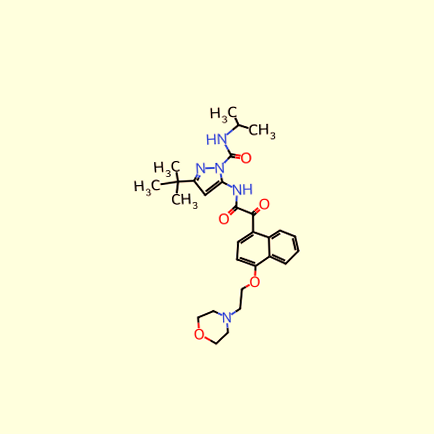 CC(C)NC(=O)n1nc(C(C)(C)C)cc1NC(=O)C(=O)c1ccc(OCCN2CCOCC2)c2ccccc12